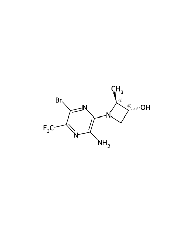 C[C@H]1[C@H](O)CN1c1nc(Br)c(C(F)(F)F)nc1N